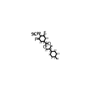 CC1CCC(C2COC(C3CC(F)C(N=C=S)C(F)C3)OC2)CC1